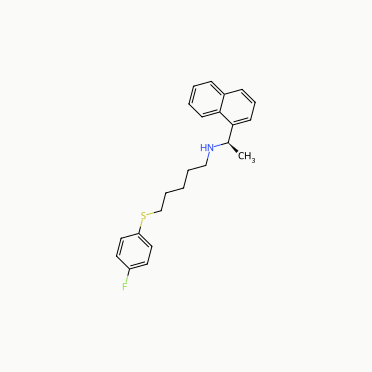 C[C@@H](NCCCCCSc1ccc(F)cc1)c1cccc2ccccc12